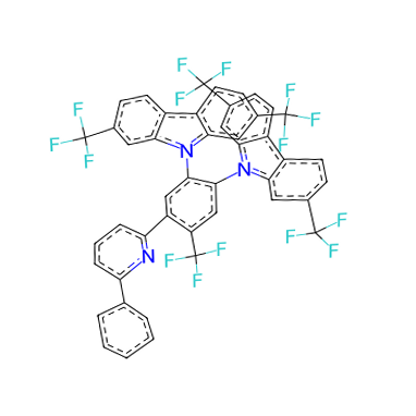 FC(F)(F)c1ccc2c3ccc(C(F)(F)F)cc3n(-c3cc(-c4cccc(-c5ccccc5)n4)c(C(F)(F)F)cc3-n3c4cc(C(F)(F)F)ccc4c4ccc(C(F)(F)F)cc43)c2c1